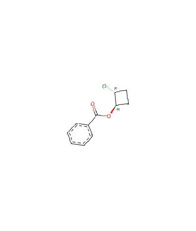 O=C(O[C@@H]1CC[C@H]1Cl)c1ccccc1